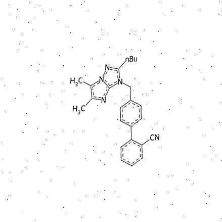 CCCCc1nn2c(C)c(C)nc2n1Cc1ccc(-c2ccccc2C#N)cc1